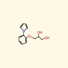 OCC(O)COc1ccccc1-n1cccc1